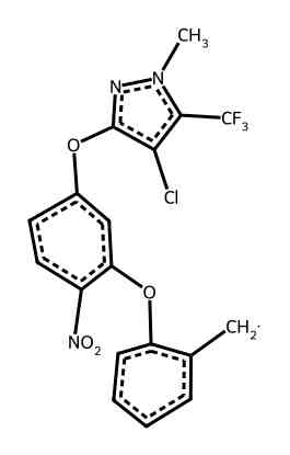 [CH2]c1ccccc1Oc1cc(Oc2nn(C)c(C(F)(F)F)c2Cl)ccc1[N+](=O)[O-]